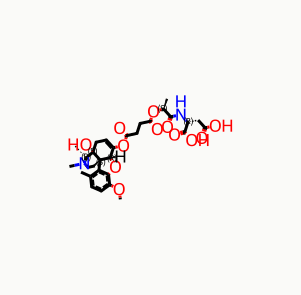 COc1ccc(C)c2c1O[C@H]1C(OC(=O)CCC(=O)O[C@@H](C)C(=O)N[C@H](CC(=O)O)C(=O)O)=CC[C@@]3(O)[C@@H](C)N(C)CC[C@]213